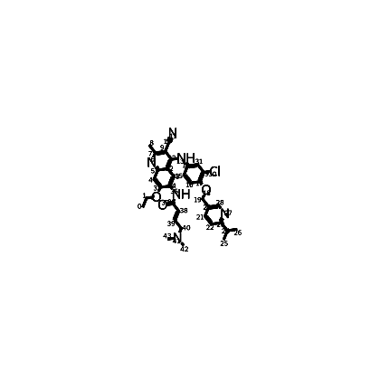 CCOc1cc2nc(C)c(C#N)c(Nc3ccc(OCc4ccc(C(C)C)nc4)c(Cl)c3)c2cc1NC(=O)/C=C/CN(C)C